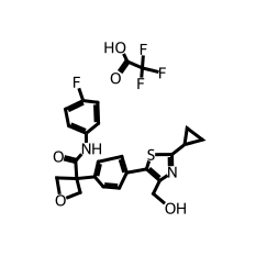 O=C(Nc1ccc(F)cc1)C1(c2ccc(-c3sc(C4CC4)nc3CO)cc2)COC1.O=C(O)C(F)(F)F